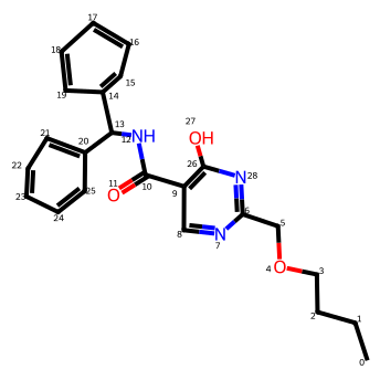 CCCCOCc1ncc(C(=O)NC(c2ccccc2)c2ccccc2)c(O)n1